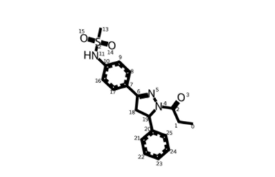 CCC(=O)N1N=C(c2ccc(NS(C)(=O)=O)cc2)CC1c1ccccc1